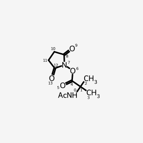 CC(=O)NC(C)(C)C(=O)ON1C(=O)CCC1=O